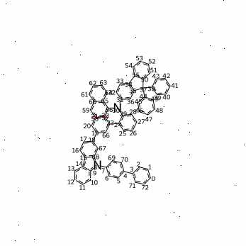 c1ccc(-c2ccc(-n3c4ccccc4c4ccc(-c5cccc(-c6ccccc6N(c6ccc7c(c6)C(c6ccccc6)(c6ccccc6)c6ccccc6-7)c6cccc7ccccc67)c5)cc43)cc2)cc1